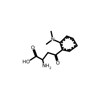 CN(C)c1ccccc1C(=O)CC(N)C(=O)O